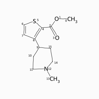 COC(=O)c1sccc1C1CCN(C)CC1